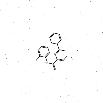 C=C(Nc1ccccc1C)C(=C/C)/N=C(\C)C1C=CC=CC1